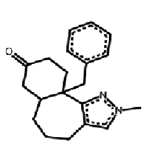 Cn1cc2c(n1)C1(Cc3ccccc3)CCC(=O)CC1CCC2